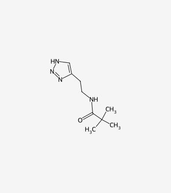 CC(C)(C)C(=O)NCCc1c[nH]nn1